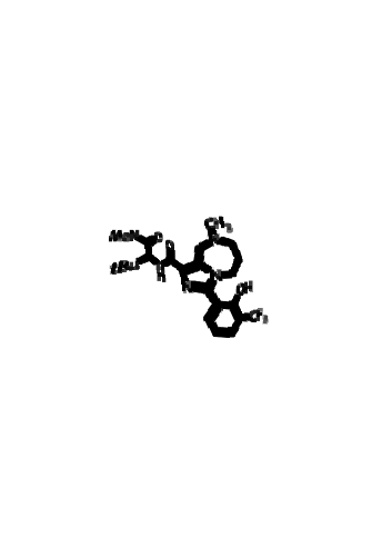 CNC(=O)C(NC(=O)c1nc(-c2cccc(C(F)(F)F)c2O)n2c1CN(C)CCC2)C(C)(C)C